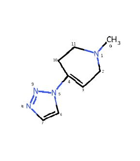 CN1CC=C(n2c[c]nn2)CC1